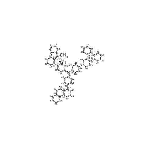 CC1(C)c2ccccc2-c2cccc(-c3ccc(N(c4ccc(-c5ccc(-c6ccccc6)c(-c6ccccc6)c5)cc4)c4ccc(-c5cccc6c5ccc5ccccc56)cc4)cc3)c21